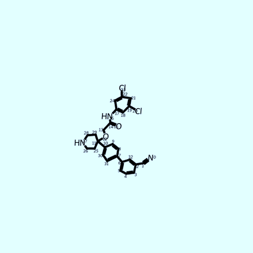 N#Cc1cccc(-c2ccc(C3(OCC(=O)Nc4cc(Cl)cc(Cl)c4)CCNCC3)cc2)c1